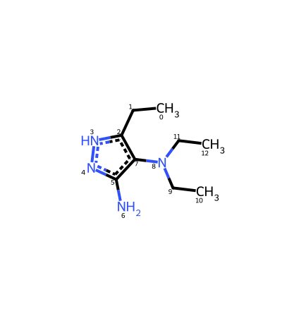 CCc1[nH]nc(N)c1N(CC)CC